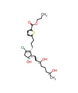 CCCOC(=O)c1ccc(CCC[C@@H]2[C@@H](/C=C/[C@@H](O)CCC[C@H](C)O)[C@H](O)C[C@H]2Cl)s1